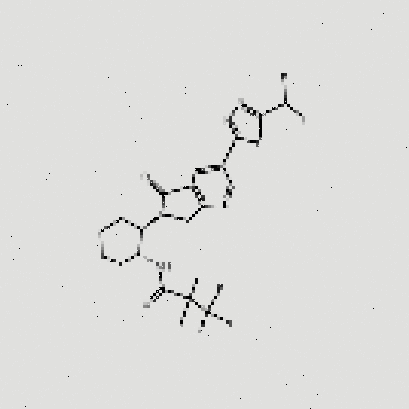 CC(C)(C(=O)N[C@@H]1CCCC[C@H]1N1Cc2ncc(-c3nnc(C(F)F)o3)cc2C1=O)C(F)(F)F